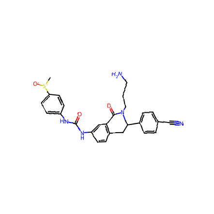 C[S+]([O-])c1ccc(NC(=O)Nc2ccc3c(c2)C(=O)N(CCCN)C(c2ccc(C#N)cc2)C3)cc1